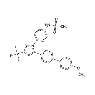 COc1ccc(-c2ccc(-c3cc(C(F)(F)F)nn3-c3ccc(NS(C)(=O)=O)cc3)cc2)cc1